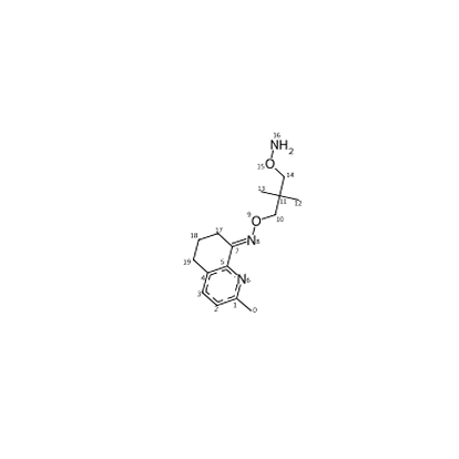 Cc1ccc2c(n1)/C(=N/OCC(C)(C)CON)CCC2